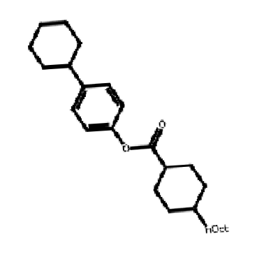 CCCCCCCCC1CCC(C(=O)Oc2ccc(C3CCCCC3)cc2)CC1